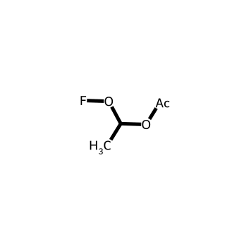 CC(=O)OC(C)OF